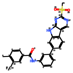 Cc1ccc(C(=O)Nc2cccc(-c3ccc4c(c3)[nH]c3nc(S(C)(=O)=O)ncc34)c2)cc1C(F)(F)F